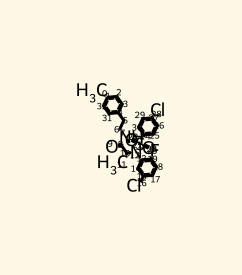 Cc1ccc(CCNC(=O)C(C)N(c2cc(Cl)ccc2F)S(=O)(=O)c2ccc(Cl)cc2)cc1